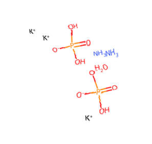 N.N.O.O=P([O-])(O)O.O=P([O-])([O-])O.[K+].[K+].[K+]